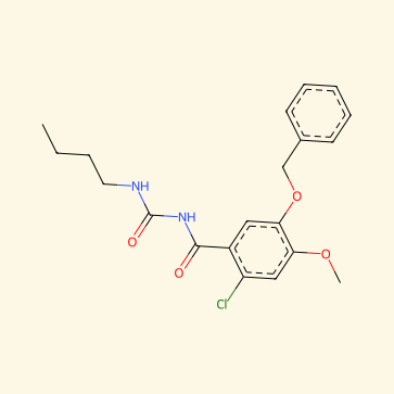 CCCCNC(=O)NC(=O)c1cc(OCc2ccccc2)c(OC)cc1Cl